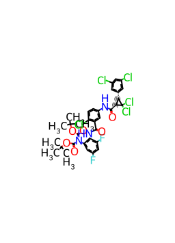 CC(C)(C)OC(=O)N(C(=O)OC(C)(C)C)c1cc(F)cc(F)c1NC(=O)c1cc(NC(=O)[C@H]2[C@H](c3cc(Cl)cc(Cl)c3)C2(Cl)Cl)ccc1Cl